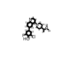 CC(C1CCN(c2[c]cnc3ccc(-c4cc(F)c(O)c(Cl)c4)cc23)CC1)N(C)C